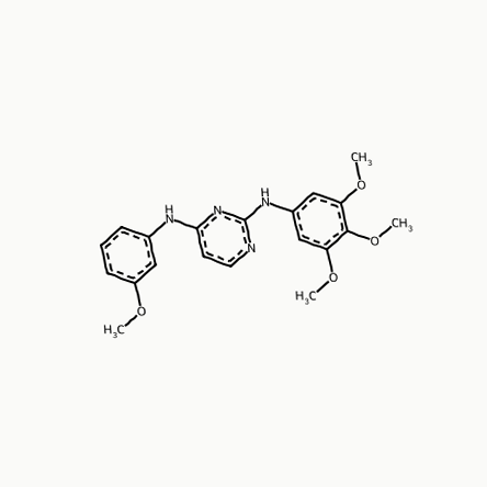 COc1cccc(Nc2ccnc(Nc3cc(OC)c(OC)c(OC)c3)n2)c1